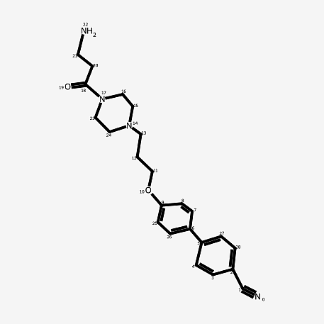 N#Cc1ccc(-c2ccc(OCCCN3CCN(C(=O)CCN)CC3)cc2)cc1